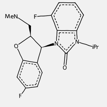 CNC[C@@H]1Oc2cc(F)ccc2[C@@H]1n1c(=O)n(C(C)C)c2cccc(F)c21